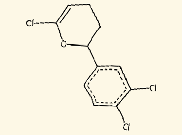 ClC1=CCCC(c2ccc(Cl)c(Cl)c2)O1